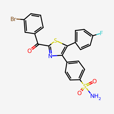 NS(=O)(=O)c1ccc(-c2nc(C(=O)c3cccc(Br)c3)sc2-c2ccc(F)cc2)cc1